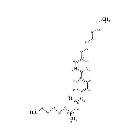 CCCCCCCCc1cnc(-c2ccc(OC(=O)C[C@@H](C)CCCCCC)cc2)nc1